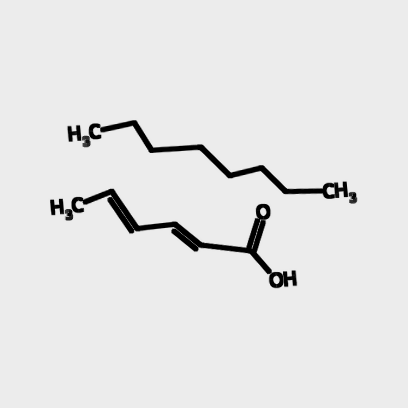 CC=CC=CC(=O)O.CCCCCCCC